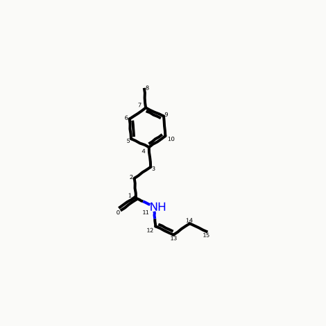 C=C(CCc1ccc(C)cc1)N/C=C\CC